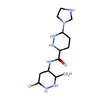 O=C(NC1CC(Cl)NNC1C(=O)O)C1CCC(N2CCNC2)NN1